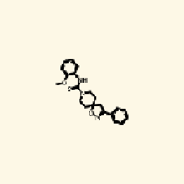 COc1ccccc1NC(=S)N1CCC2(CC1)CC(c1ccccc1)=NO2